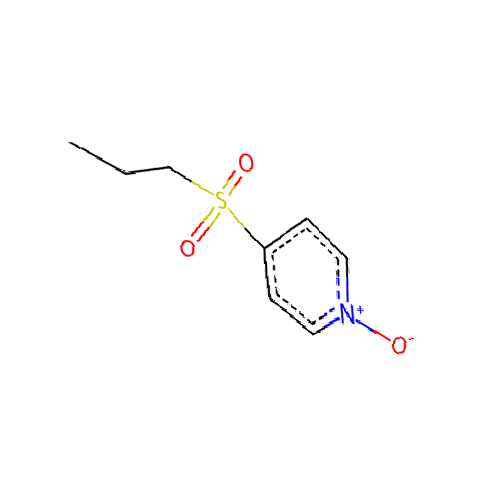 CCCS(=O)(=O)c1cc[n+]([O-])cc1